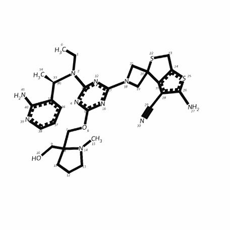 CCN(c1nc(OCC2(CO)CCCN2C)nc(N2CC3(C2)SCc2sc(N)c(C#N)c23)n1)[C@H](C)c1cccnc1N